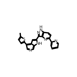 Cc1ccc(-c2cncc3[nH]c(-c4n[nH]c5ccc(-c6ccccn6)nc45)cc23)s1